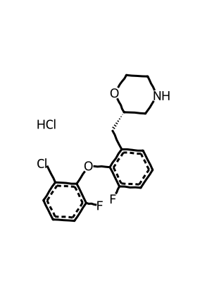 Cl.Fc1cccc(Cl)c1Oc1c(F)cccc1C[C@H]1CNCCO1